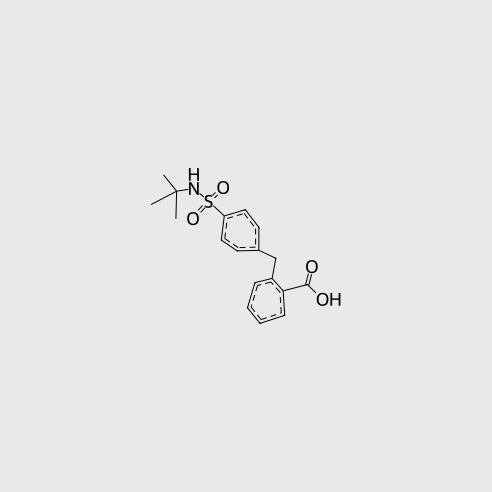 CC(C)(C)NS(=O)(=O)c1ccc(Cc2ccccc2C(=O)O)cc1